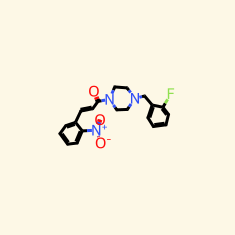 O=C(C=Cc1ccccc1[N+](=O)[O-])N1CCN(Cc2ccccc2F)CC1